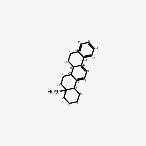 O=C(O)C12CCCCC1C1=CC=C3c4ccccc4CCC3C1CC2